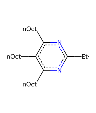 C[CH]c1nc(CCCCCCCC)c(CCCCCCCC)c(CCCCCCCC)n1